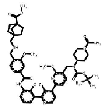 COC(=O)C12CCC(CNCc3cnc(C(=O)Nc4cccc(-c5nccc(-c6ccc(CN(C(=O)OC(C)(C)C)C7CCN(C(C)=O)CC7)c(OC)n6)c5Cl)c4Cl)cc3OC)(CC1)C2